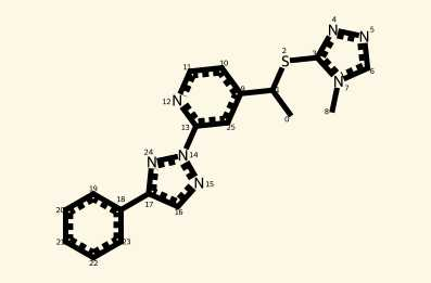 CC(Sc1nncn1C)c1ccnc(-n2ncc(-c3ccccc3)n2)c1